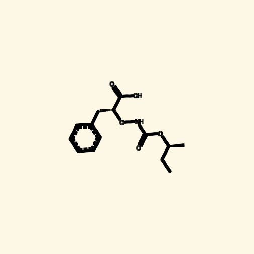 CC[C@H](C)OC(=O)NO[C@H](Cc1ccccc1)C(=O)O